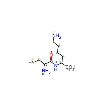 NCCCCC(NC(=O)C(N)CS)C(=O)O